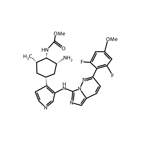 COC(=O)N[C@@H]1[C@H](N)C[C@H](c2ccncc2Nc2ncc3ccc(-c4c(F)cc(OC)cc4F)nn23)C[C@@H]1C